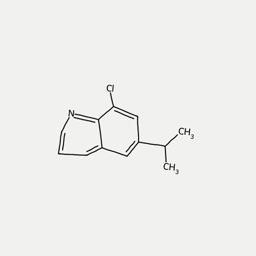 CC(C)c1cc(Cl)c2ncccc2c1